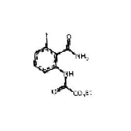 CCOC(=O)C(=O)Nc1cccc(F)c1C(N)=O